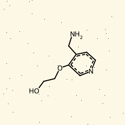 NCc1ccncc1OCCO